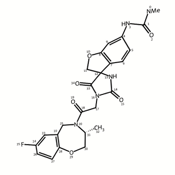 CNC(=O)Nc1ccc2c(c1)OCC21NC(=O)N(CC(=O)N2Cc3cc(F)ccc3OC[C@H]2C)C1=O